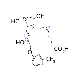 O=C(O)CCC/C=C\C[C@H]1C(O)C[C@@H](O)C1/C=C/[C@@H](O)COc1cccc(C(F)(F)F)c1